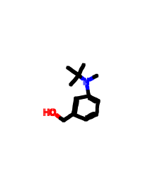 CN(c1cccc(CO)c1)C(C)(C)C